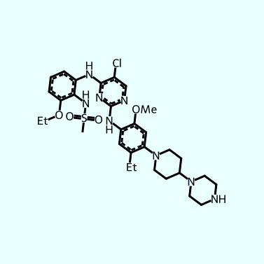 CCOc1cccc(Nc2nc(Nc3cc(CC)c(N4CCC(N5CCNCC5)CC4)cc3OC)ncc2Cl)c1NS(C)(=O)=O